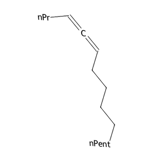 CCCC=C=CCCCCCCCCC